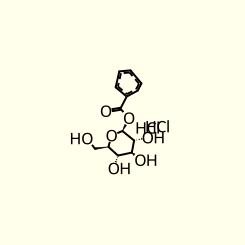 Cl.Cl.O=C(O[C@@H]1O[C@H](CO)[C@@H](O)[C@H](O)[C@H]1O)c1ccccc1